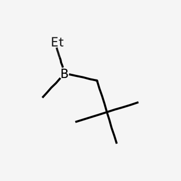 CCB(C)CC(C)(C)C